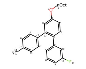 CCCCCCCCOc1ccc(-c2cccc(F)c2)c(-c2ccc(C#N)cc2)c1